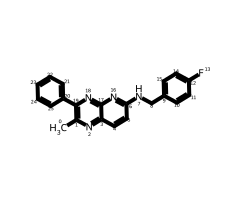 Cc1nc2ccc(NCc3ccc(F)cc3)nc2nc1-c1ccccc1